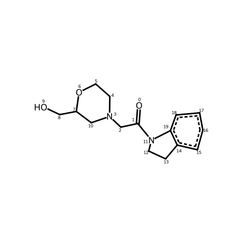 O=C(CN1CCOC(CO)C1)N1CCc2ccccc21